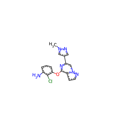 Cn1cc(-c2cn3nccc3c(Oc3cccc(N)c3Cl)n2)cn1